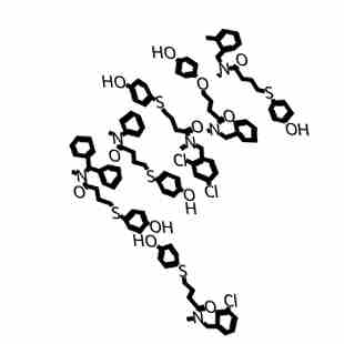 CN(C(=O)CCCSc1ccc(O)cc1)C(c1ccccc1)c1ccccc1.CN(C(=O)CCCSc1ccc(O)cc1)c1ccccc1.CN(Cc1ccc(Cl)cc1Cl)C(=O)CCCSc1ccc(O)cc1.CN(Cc1cccc(Cl)c1)C(=O)CCCSc1ccc(O)cc1.CN(Cc1ccccc1)C(=O)CCCOc1ccc(O)cc1.Cc1ccccc1CN(C)C(=O)CCCSc1ccc(O)cc1